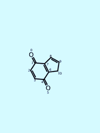 O=C1C=CC(=O)C2=C1C=CC2